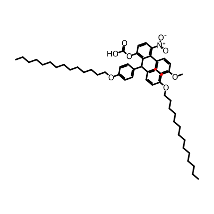 CCCCCCCCCCCCCCOc1ccc(C(c2ccc(OCCCCCCCCCCCCCC)cc2)c2c(OC(=O)O)ccc([N+](=O)[O-])c2-c2ccc(OC)cc2)cc1